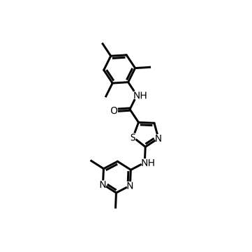 Cc1cc(C)c(NC(=O)c2cnc(Nc3cc(C)nc(C)n3)s2)c(C)c1